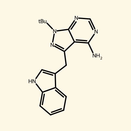 CC(C)(C)n1nc(Cc2c[nH]c3ccccc23)c2c(N)ncnc21